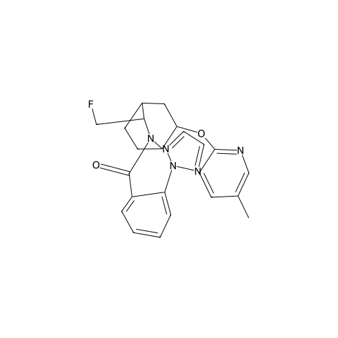 Cc1ccc(OC2CC3CCC2N(C(=O)c2ccccc2-n2nccn2)C3CF)nc1